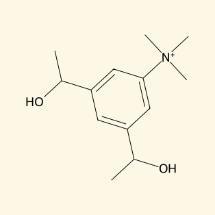 CC(O)c1cc(C(C)O)cc([N+](C)(C)C)c1